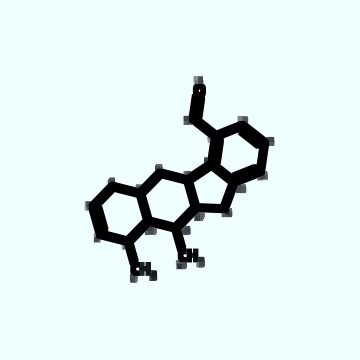 CC1C=CCC2CC3c4c(C=O)cccc4CC3C(C)C12